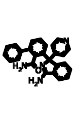 NC(=O)c1c(-c2ccccc2)cccc1C1(c2ccncc2)N=C(N)c2ccccc21